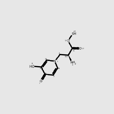 N[C@@H](Cn1ccc(=O)c(O)c1)C(=O)OS